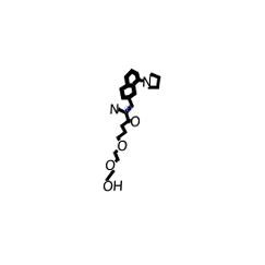 N#C/C(=C\c1ccc2cccc(N3CCCC3)c2c1)C(=O)CCCOCCOCCO